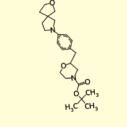 CC(C)(C)OC(=O)N1CCOC(Cc2ccc(N3CCC4(CCOC4)C3)cc2)C1